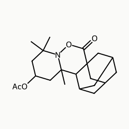 CC(=O)OC1CC(C)(C)N2OC(=O)C34CC5CC(CC(C5)C3C2(C)C1)C4